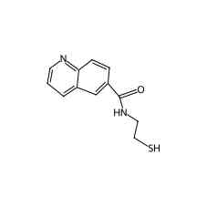 O=C(NCCS)c1ccc2ncccc2c1